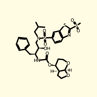 CC(C)CN(C[C@@H](O)[C@H](Cc1ccccc1)NC(=O)O[C@H]1CCO[C@H]2OCC[C@H]21)S(=O)(=O)c1ccc2nc(S(C)(=O)=O)sc2c1